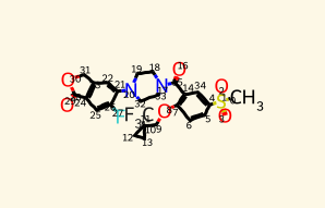 CS(=O)(=O)c1ccc(OCC2(C(F)(F)F)CC2)c(C(=O)N2CCN(c3cc4c(cc3F)C(=O)OC4)CC2)c1